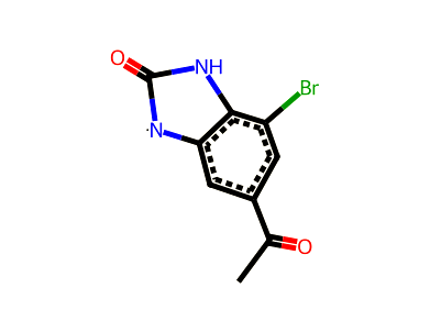 CC(=O)c1cc(Br)c2c(c1)[N]C(=O)N2